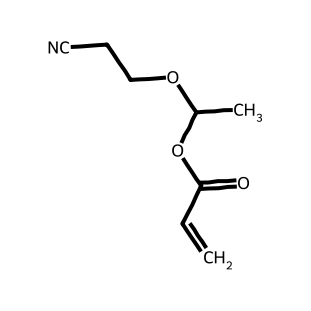 C=CC(=O)OC(C)OCCC#N